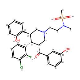 CN(CCN1C[C@H](C(=O)c2cccc(O)c2)[C@H](c2cccc(Cl)c2F)[C@@H](c2[c]cccc2O)C1)S(C)(=O)=O